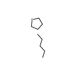 C1CCOC1.CCCCC